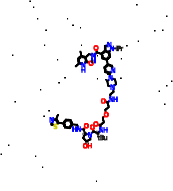 Cc1cc(C)c(CNC(=O)c2cc(-c3ccc(N4CCN(CCNC(=O)CCOCCC(=O)N[C@H](C(=O)N5C[C@H](O)C[C@H]5C(=O)NCc5ccc(-c6scnc6C)cc5)C(C)(C)C)CC4)nc3)cc3c2cnn3C(C)C)c(=O)[nH]1